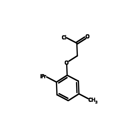 Cc1ccc(C(C)C)c(OCC(=O)Cl)c1